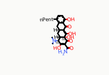 CCCCCc1ccc(O)c2c1C[C@@H]1C[C@H]3[C@H](N(C)C)C(O)=C(C(N)=O)C(=O)[C@@]3(O)C(O)=C1C2=O